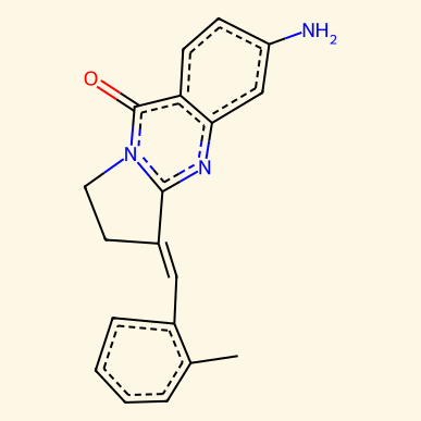 Cc1ccccc1/C=C1\CCn2c1nc1cc(N)ccc1c2=O